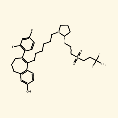 O=S(=O)(CCC[C@H]1CCCN1CCCCCCC1=C(c2ccc(F)cc2F)CCCc2cc(O)ccc21)CCC(F)(F)C(F)(F)F